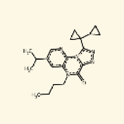 CCCCn1c(=O)c2nnc(C3(C4CC4)CC3)n2c2ncc(C(C)C)cc21